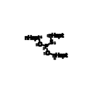 CCCCCCCOP(OCCCCCCC)SCCCCCCC